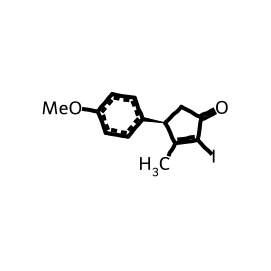 COc1ccc([C@H]2CC(=O)C(I)=C2C)cc1